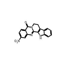 O=c1c2ccc([N+](=O)[O-])cc2nc2n1CCc1c-2[nH]c2ccccc12